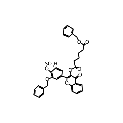 O=C(CCCCC(=O)Oc1c(-c2ccc(OS(=O)(=O)O)c(OCc3ccccc3)c2)oc2ccccc2c1=O)OCc1ccccc1